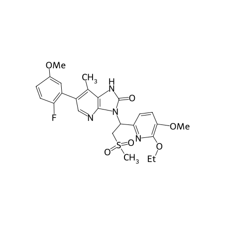 CCOc1nc(C(CS(C)(=O)=O)n2c(=O)[nH]c3c(C)c(-c4cc(OC)ccc4F)cnc32)ccc1OC